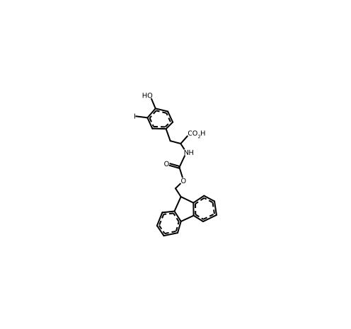 O=C(NC(Cc1ccc(O)c(I)c1)C(=O)O)OCC1c2ccccc2-c2ccccc21